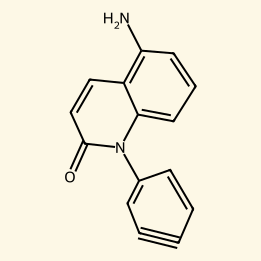 Nc1cccc2c1ccc(=O)n2-c1cc#ccc1